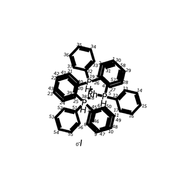 [I].c1ccc([PH](c2ccccc2)(c2ccccc2)[Rh]([PH](c2ccccc2)(c2ccccc2)c2ccccc2)[PH](c2ccccc2)(c2ccccc2)c2ccccc2)cc1